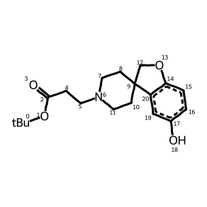 CC(C)(C)OC(=O)CCN1CCC2(CC1)COc1ccc(O)cc12